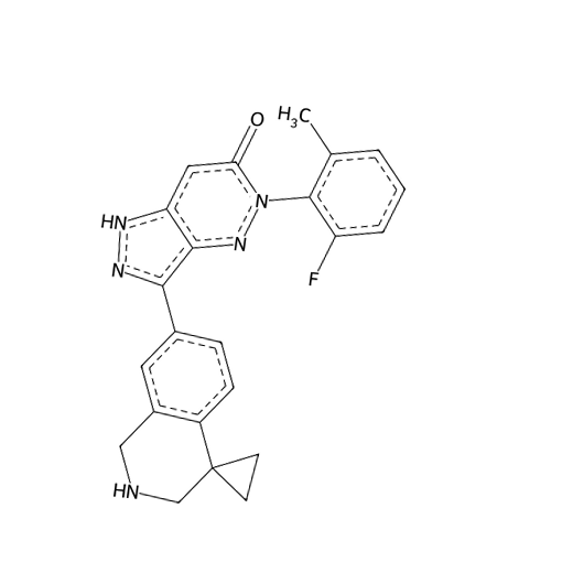 Cc1cccc(F)c1-n1nc2c(-c3ccc4c(c3)CNCC43CC3)n[nH]c2cc1=O